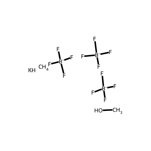 C.CO.F[B-](F)(F)F.F[B-](F)(F)F.F[B-](F)(F)F.[KH]